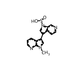 Cn1cc(-c2cn(S(=O)O)c3cnccc23)c2cccnc21